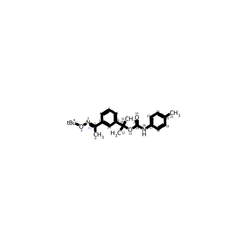 C/C(=N\OC(C)(C)C)c1cccc(C(C)(C)OC(=O)Nc2ccc(C)cc2)c1